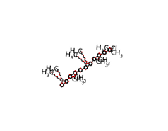 CCCCCCCCC1(CCCCCCCC)c2ccccc2-c2ccc(-c3ccc4c(c3)C(C)(C)c3cc(-c5ccc(-c6ccc7c(c6)C(CCCCCCCC)(CCCCCCCC)c6cc(-c8ccc9c(c8)C(C)(C)c8cc(-c%10ccc(-c%11cc(C)c(Cl)cc%11C)cc%10)ccc8-9)ccc6-7)cc5)ccc3-4)cc21